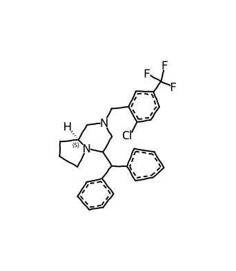 FC(F)(F)c1ccc(Cl)c(CN2CC(C(c3ccccc3)c3ccccc3)N3CCC[C@H]3C2)c1